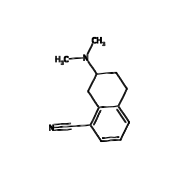 CN(C)C1CCc2cccc(C#N)c2C1